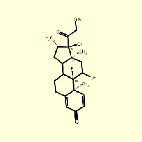 CC(=O)OCC(=O)[C@@]1(O)[C@@H](C)CC2C3CCC4=CC(=O)C=C[C@]4(C)[C@@]3(F)C(O)C[C@@]21C